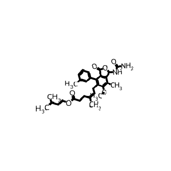 COc1c(C)c2c(c(-c3cccc(C)c3)c1CC=C(C)CCC(=O)OCCC(C)C)C(=O)OC2NC(N)=O